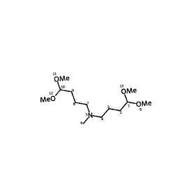 COC(CCCN(C)CCCC(OC)OC)OC